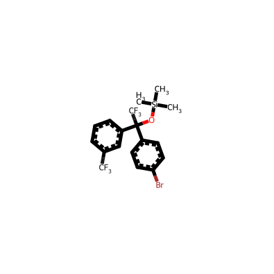 C[Si](C)(C)OC(c1ccc(Br)cc1)(c1cccc(C(F)(F)F)c1)C(F)(F)F